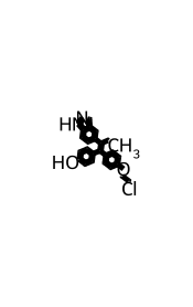 CC/C(=C(/c1ccc(O)cc1)c1ccc(OCCCl)cc1)c1ccc2[nH]ncc2c1